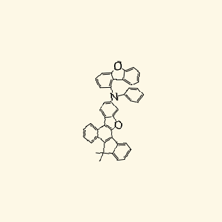 CC1(C)c2ccccc2-c2c1c1ccccc1c1c2oc2cc(N(c3ccccc3)c3cccc4oc5ccccc5c34)ccc21